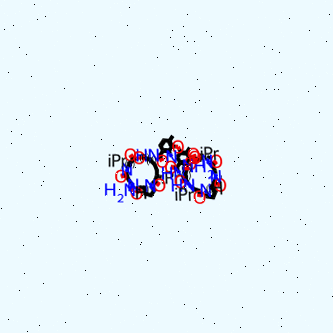 Cc1c2oc3c(C)ccc(C(=O)N[C@@H]4CCC(C(C)C)C(=O)N5CCC[C@H]5C(=O)N(N)CC(=O)N(C)[C@@H](C(C)C)C(=O)O[C@@H]4C)c3nc-2c(C(=O)N[C@@H]2C(=O)NC(C(C)C)C(=O)N3CCC[C@H]3C(=O)N(C)CC(=O)N(C)C(C(C)C)C(=O)O[C@@H]2C)c(N)c1=O